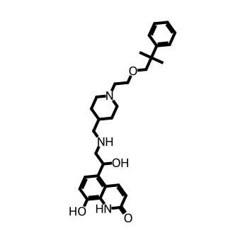 CC(C)(COCCN1CCC(CNCC(O)c2ccc(O)c3[nH]c(=O)ccc23)CC1)c1ccccc1